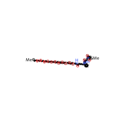 COCCOCCOCCOCCOCCOCCOCCOCCOCCOCCOCCOCCNC(=O)CCCC/C(=N/NC(=O)CCN1C(=O)CC(SC)C1=O)c1ccccc1